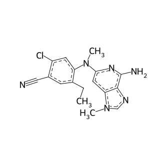 CCc1cc(C#N)c(Cl)cc1N(C)c1cc2c(ncn2C)c(N)n1